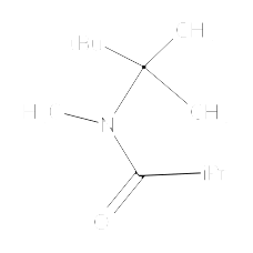 CC(C)C(=O)N(C)C(C)(C)C(C)(C)C